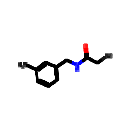 [C-]#[N+]CC(=O)NCc1cccc(C)c1